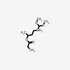 CCC(=O)OC(C)CC[SiH2]C(OC)OC